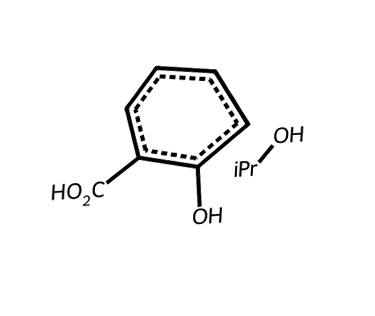 CC(C)O.O=C(O)c1ccccc1O